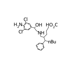 CCCCC(c1ccccc1)C(CCCC(=O)O)CNCC(O)c1cc(Cl)c(N)c(Cl)c1